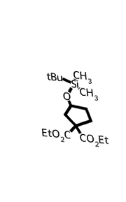 CCOC(=O)C1(C(=O)OCC)CCC(O[Si](C)(C)C(C)(C)C)C1